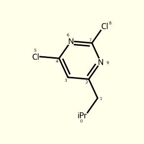 CC(C)Cc1cc(Cl)nc(Cl)n1